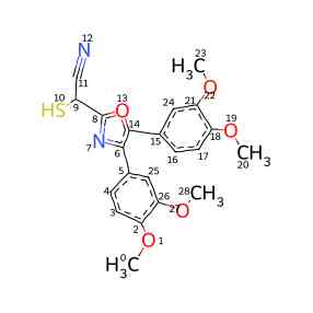 COc1ccc(-c2nc(C(S)C#N)oc2-c2ccc(OC)c(OC)c2)cc1OC